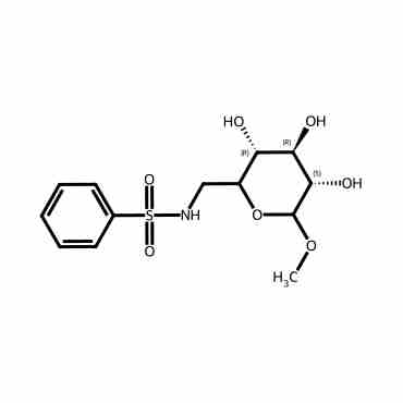 COC1OC(CNS(=O)(=O)c2ccccc2)[C@H](O)[C@@H](O)[C@@H]1O